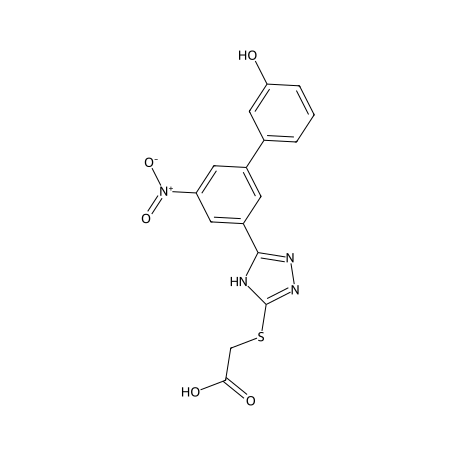 O=C(O)CSc1nnc(-c2cc(-c3cccc(O)c3)cc([N+](=O)[O-])c2)[nH]1